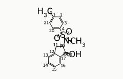 Cc1ccc(S(=O)(=O)N(C)[C@H]2Cc3ccccc3[C@@H]2O)cc1